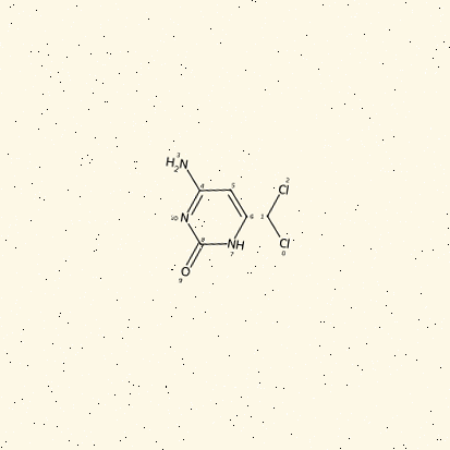 ClCCl.Nc1cc[nH]c(=O)n1